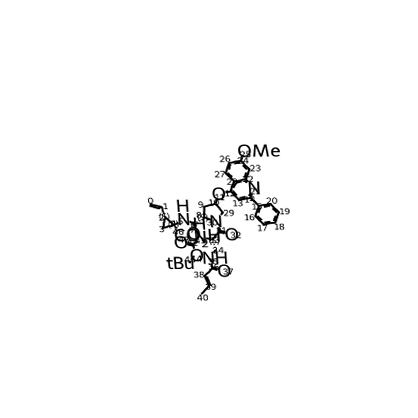 C=C[C@@H]1C[C@]1(NC(=O)[C@@H]1CC(Oc2cc(-c3ccccc3)nc3cc(OC)ccc23)CN1C(=O)[C@H](CNC(=O)C=CC)NC(=O)OC(C)(C)C)C(=O)O